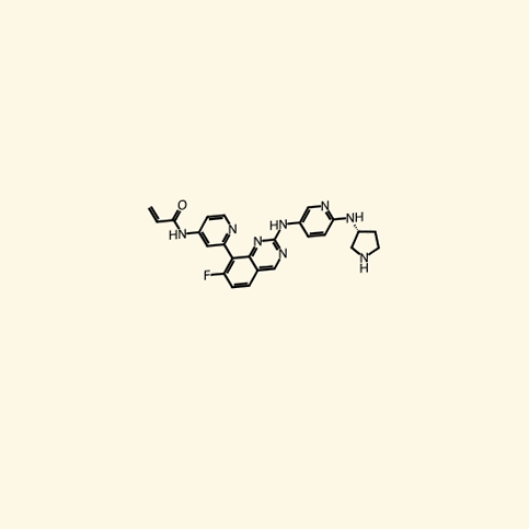 C=CC(=O)Nc1ccnc(-c2c(F)ccc3cnc(Nc4ccc(N[C@@H]5CCNC5)nc4)nc23)c1